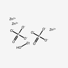 CCO.O=P([O-])([O-])[O-].O=P([O-])([O-])[O-].[Zn+2].[Zn+2].[Zn+2]